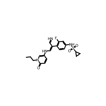 CCCn1cc(N/C=C(\C=N)c2ccc(NS(=O)(=O)C3CC3)cc2F)ccc1=O